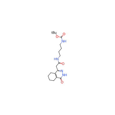 CC(C)(C)OC(=O)NCCCCNC(=O)Cc1n[nH]c(=O)c2c1CCCC2